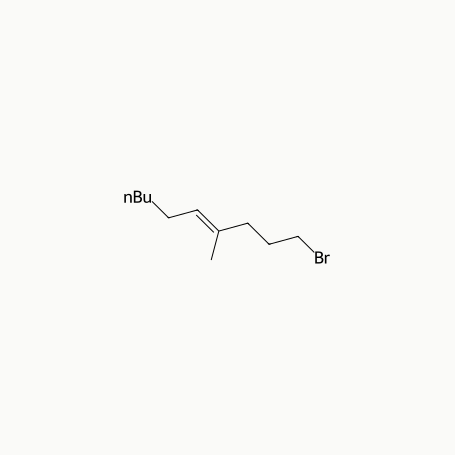 CCCCC/C=C(\C)CCCBr